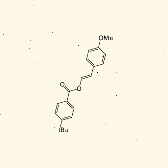 COc1ccc(C=COC(=O)c2ccc(C(C)(C)C)cc2)cc1